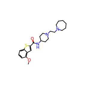 COc1cccc2sc(C(=O)NC3CCN(CCN4CCCCCC4)CC3)cc12